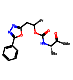 CCCC[C@H](NC(=O)OC(Cc1nnc(-c2ccccc2)o1)C(C)C)C(=O)OC